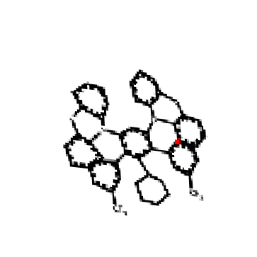 FC(F)(F)c1cccc(-c2c(N3c4ccccc4Sc4ccccc43)cc(N3c4ccccc4Sc4ccccc43)c(-c3cccc(C(F)(F)F)c3)c2C2CCCCC2)c1